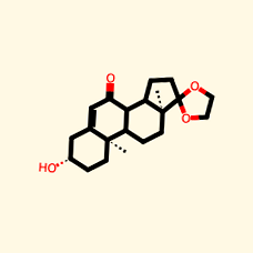 C[C@]12CC[C@H](O)CC1=CC(=O)C1C2CC[C@@]2(C)C1CCC21OCCO1